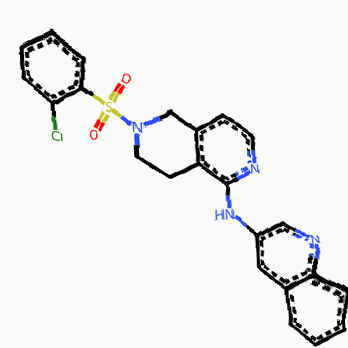 O=S(=O)(c1ccccc1Cl)N1CCc2c(ccnc2Nc2cnc3ccccc3c2)C1